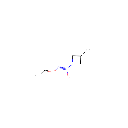 CC(=O)OCON=[N+]([O-])N1CC(C(=O)O)C1